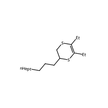 CCCCCCCCCCC1CSC(CC)=C(CC)S1